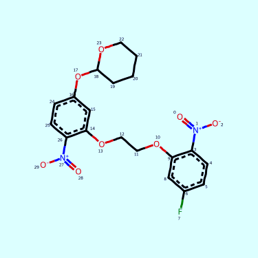 O=[N+]([O-])c1ccc(F)cc1OCCOc1cc(OC2CCCCO2)ccc1[N+](=O)[O-]